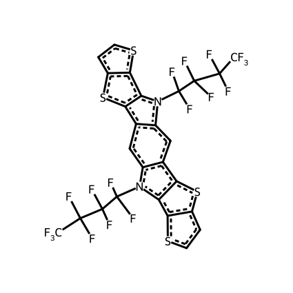 FC(F)(F)C(F)(F)C(F)(F)C(F)(F)n1c2cc3c4sc5ccsc5c4n(C(F)(F)C(F)(F)C(F)(F)C(F)(F)F)c3cc2c2sc3ccsc3c21